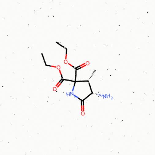 CCOC(=O)C1(C(=O)OCC)NC(=O)[C@@H](N)[C@H]1C